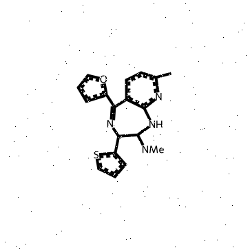 CNC1Nc2nc(C)ccc2C(c2ccco2)=NC1c1cccs1